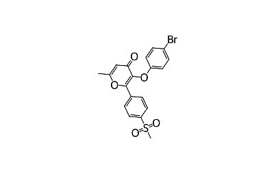 Cc1cc(=O)c(Oc2ccc(Br)cc2)c(-c2ccc(S(C)(=O)=O)cc2)o1